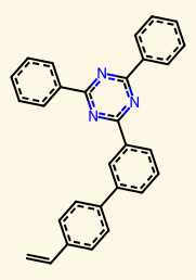 C=Cc1ccc(-c2cccc(-c3nc(-c4ccccc4)nc(-c4ccccc4)n3)c2)cc1